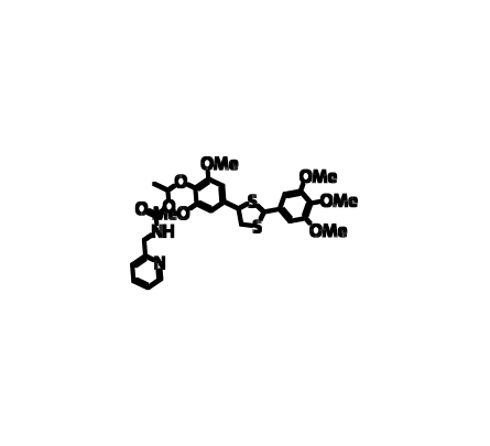 COc1cc(C2SCC(c3cc(OC)c(OC(C)OC(=O)NCc4ccccn4)c(OC)c3)S2)cc(OC)c1OC